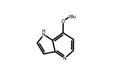 CC(C)(C)Oc1ccnc2cc[nH]c12